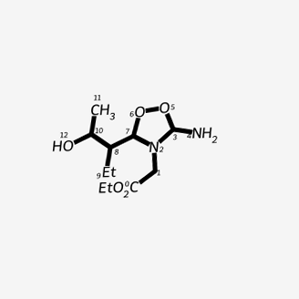 CCOC(=O)CN1C(N)OOC1C(CC)C(C)O